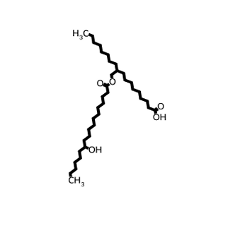 CCCCCCCCC(CCCCCCCCC(=O)O)COC(=O)CCCCCCCCCCC(O)CCCCCC